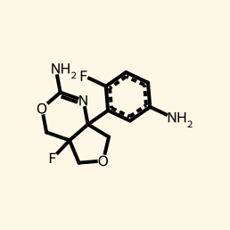 NC1=NC2(c3cc(N)ccc3F)COCC2(F)CO1